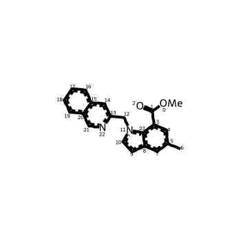 COC(=O)c1cc(C)cc2ccn(Cc3cc4ccccc4cn3)c12